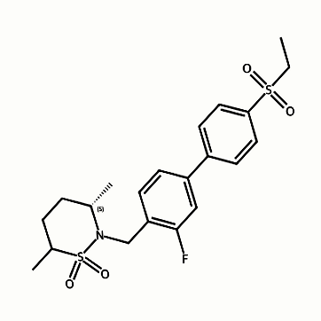 CCS(=O)(=O)c1ccc(-c2ccc(CN3[C@@H](C)CCC(C)S3(=O)=O)c(F)c2)cc1